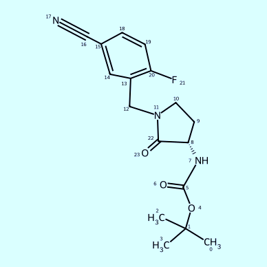 CC(C)(C)OC(=O)N[C@H]1CCN(Cc2cc(C#N)ccc2F)C1=O